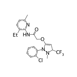 CCc1ccc(C)nc1NC(=O)COC1=CC(C(F)(F)F)N(C)N1c1ccccc1Cl